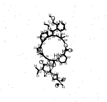 CCn1c(-c2cccnc2[C@H](C)OC)c2c3cc(ccc31)-c1csc(n1)C[C@H](NC(=O)[C@H](C(C)C)N(C)C(=O)N1CC(S(C)(=O)=O)C1)C(=O)N1CCC[C@H](N1)C(=O)OCC(C)(C)C2